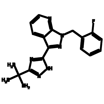 BC(B)(B)c1n[nH]c(-c2nn(Cc3ccccc3F)c3ncccc23)n1